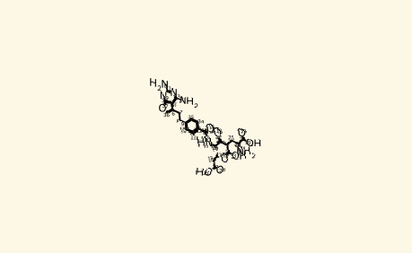 Nc1nc(N)c2c(CCc3ccc(C(=O)N[C@@H](CCC(=O)O)C(=O)C(C[C@H](N)C(=O)O)C(=O)O)cc3)coc2n1